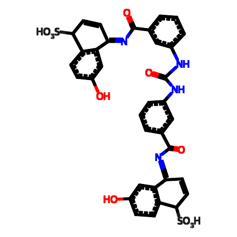 O=C(Nc1cccc(C(=O)N=C2C=CC(S(=O)(=O)O)c3ccc(O)cc32)c1)Nc1cccc(C(=O)N=C2C=CC(S(=O)(=O)O)c3ccc(O)cc32)c1